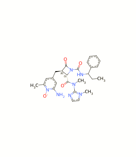 CCC(NC(=O)N1C(=O)[C@H](Cc2cc(C)[n+]([O-])c(N)c2)[C@H]1C(=O)N(C)c1nccn1C)c1ccccc1